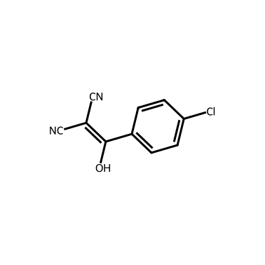 N#CC(C#N)=C(O)c1ccc(Cl)cc1